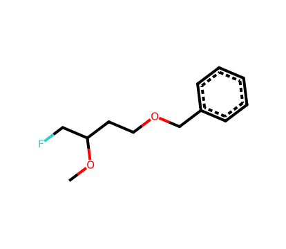 COC(CF)CCOCc1ccccc1